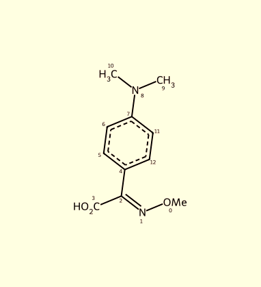 CO/N=C(/C(=O)O)c1ccc(N(C)C)cc1